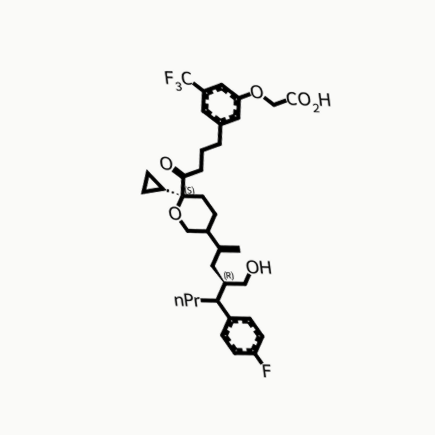 C=C(C[C@@H](CO)C(CCC)c1ccc(F)cc1)C1CC[C@@](C(=O)CCCc2cc(OCC(=O)O)cc(C(F)(F)F)c2)(C2CC2)OC1